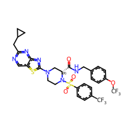 O=C(NCc1ccc(OC(F)(F)F)cc1)[C@H]1CN(c2nc3nc(CC4CC4)ncc3s2)CCN1S(=O)(=O)c1ccc(C(F)(F)F)cc1